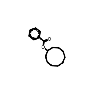 O=C(OC1CCCCCCCCC1)c1ccccc1